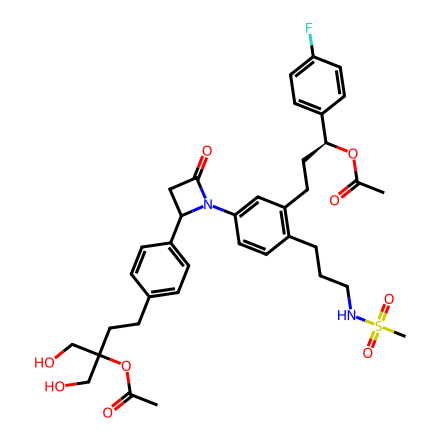 CC(=O)O[C@@H](CCc1cc(N2C(=O)CC2c2ccc(CCC(CO)(CO)OC(C)=O)cc2)ccc1CCCNS(C)(=O)=O)c1ccc(F)cc1